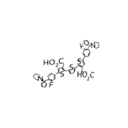 O=C(O)Cc1cc(-c2ccc(C(=O)N3CCCC3)c(F)c2)sc1-c1ccc(-c2sc(-c3ccc(C(=O)N4CCCC4)c(F)c3)cc2CC(=O)O)s1